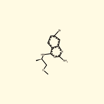 COC[C@@H](C)Nc1nc(N)nc2cc(Br)ccc12